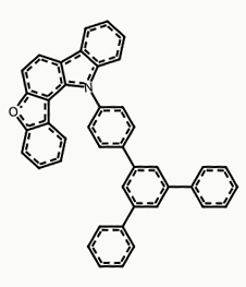 c1ccc(-c2cc(-c3ccccc3)cc(-c3ccc(-n4c5ccccc5c5ccc6oc7ccccc7c6c54)cc3)c2)cc1